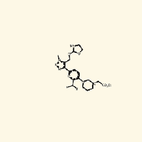 CCOC(=O)C[C@H]1CCCN(c2ccc(-c3nnn(C)c3COC3NCCO3)nc2C(F)F)C1